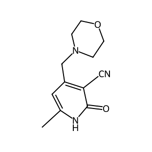 Cc1cc(CN2CCOCC2)c(C#N)c(=O)[nH]1